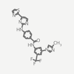 Cc1cn(-c2cc(NC(=O)c3ccc(Nc4nccc(-c5nccs5)n4)cc3)cc(C(F)(F)F)c2)cn1